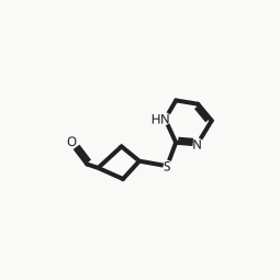 O=CC1CC(SC2=NC=CCN2)C1